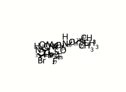 COc1ncc(Br)cc1[C@@]1(C)N=C(OC(=O)NCOCC[Si](C)(C)C)S[C@@]2(C(F)F)C[C@@H]12